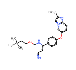 CCOC(=O)c1cn2cc(Oc3ccc(/C(=C/C=N)NCOCC[Si](C)(C)C)cc3)ccc2n1